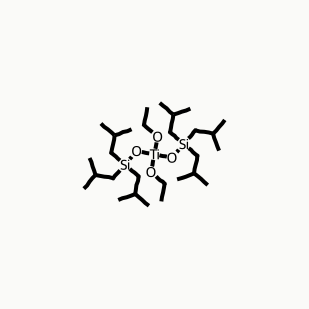 CC[O][Ti]([O]CC)([O][Si](CC(C)C)(CC(C)C)CC(C)C)[O][Si](CC(C)C)(CC(C)C)CC(C)C